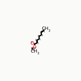 CC=CCCCC=CC(=O)OCC